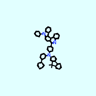 CC1(C)c2ccccc2-c2ccc(N(c3ccc(-c4nc5ccccc5c5c4ccc4c5c5ccccc5n4-c4ccccc4)cc3)c3cccc(-c4ccccc4)c3)cc21